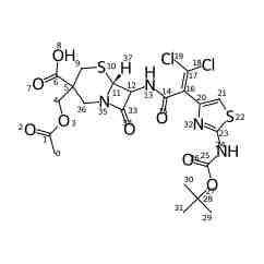 CC(=O)OCC1(C(=O)O)CS[C@@H]2C(NC(=O)C(=C(Cl)Cl)c3csc(NC(=O)OC(C)(C)C)n3)C(=O)N2C1